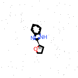 c1ccc2[nH]c([C@H]3CCCO3)nc2c1